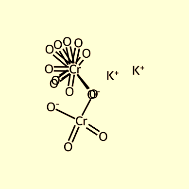 [K+].[K+].[O]=[Cr](=[O])([O-])[O][Cr](=[O])(=[O])(=[O])(=[O])(=[O])(=[O])(=[O])(=[O])(=[O])[O-]